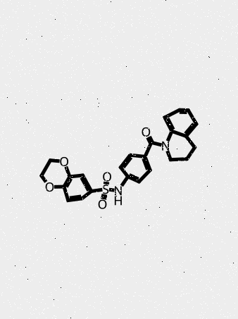 O=C(c1ccc(NS(=O)(=O)c2ccc3c(c2)OCCO3)cc1)N1CCCc2ccccc21